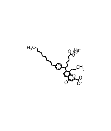 CCCCCCCCCc1ccc(C(CCCCC(=O)[O-])c2ccc3c(=O)cc(C(=O)[O-])oc3c2CCC)cc1.[Na+].[Na+]